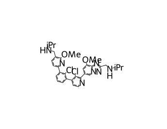 COc1nc(-c2cccc(-c3ccnc(-c4cc(OC)c5nc(CNC(C)C)nn5c4)c3Cl)c2Cl)ccc1CNC(C)C